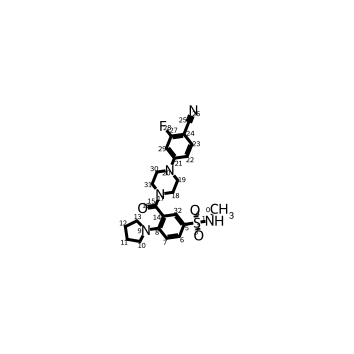 CNS(=O)(=O)c1ccc(N2CCCC2)c(C(=O)N2CCN(c3ccc(C#N)c(F)c3)CC2)c1